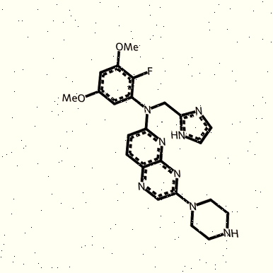 COc1cc(OC)c(F)c(N(Cc2ncc[nH]2)c2ccc3ncc(N4CCNCC4)nc3n2)c1